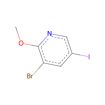 COc1ncc(I)cc1Br